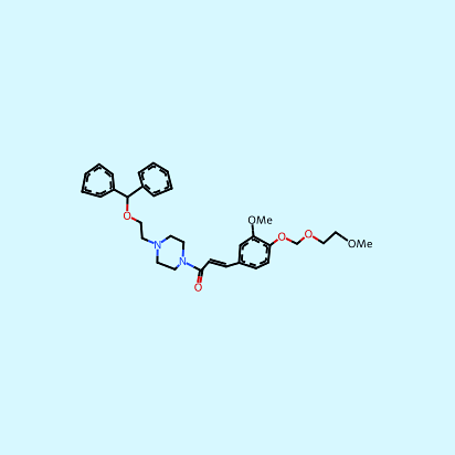 COCCOCOc1ccc(C=CC(=O)N2CCN(CCOC(c3ccccc3)c3ccccc3)CC2)cc1OC